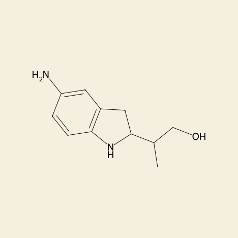 CC(CO)C1Cc2cc(N)ccc2N1